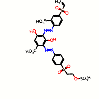 C=CS(=O)(=O)c1ccc(N=Nc2c(O)cc(C(=O)O)c(N=Nc3ccc(S(=O)(=O)CCOS(=O)(=O)O)cc3)c2O)c(S(=O)(=O)O)c1